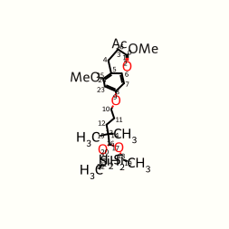 COC(=O)C(Cc1ccc(OCCCC(C)(C)C(O[SiH2]C)O[SiH2]C)cc1OC)C(C)=O